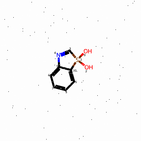 OS1(O)C=Nc2ccccc21